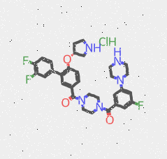 Cl.O=C(c1cc(F)cc(N2CCNCC2)c1)N1CCN(C(=O)c2ccc(O[C@H]3CCNC3)c(-c3ccc(F)c(F)c3)c2)CC1